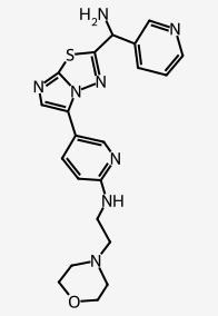 NC(c1cccnc1)c1nn2c(-c3ccc(NCCN4CCOCC4)nc3)cnc2s1